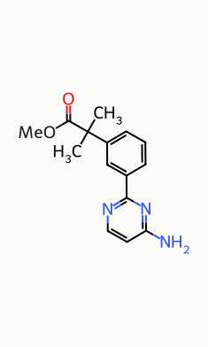 COC(=O)C(C)(C)c1cccc(-c2nccc(N)n2)c1